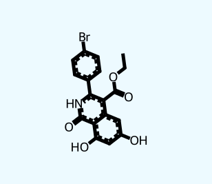 CCOC(=O)c1c(-c2ccc(Br)cc2)[nH]c(=O)c2c(O)cc(O)cc12